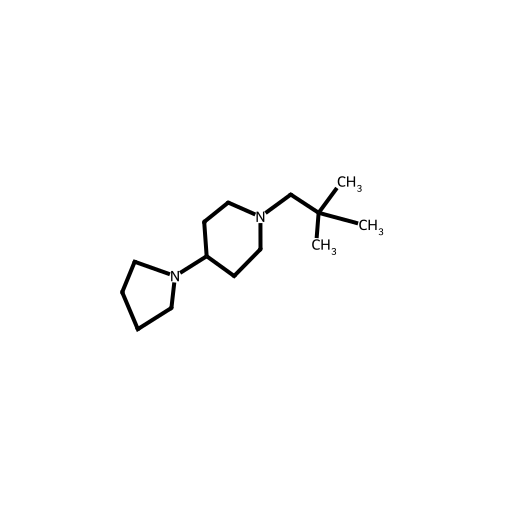 CC(C)(C)CN1CCC(N2CCCC2)CC1